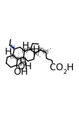 C/C=C1\C[C@H]2[C@@H]3CC[C@H]([C@H](C)CCC(=O)O)[C@@]3(C)CC[C@@H]2[C@]2(C)[C@H]1CCCC2(O)O